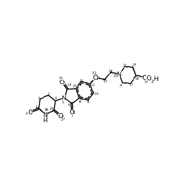 O=C1CCC(N2C(=O)c3ccc(OCCN4CCC(C(=O)O)CC4)cc3C2=O)C(=O)N1